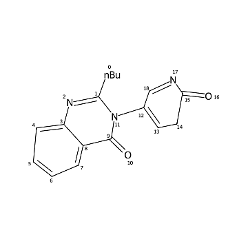 CCCCc1nc2ccccc2c(=O)n1C1=CCC(=O)N=C1